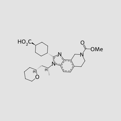 COC(=O)N1CCc2ccc3c(nc([C@H]4CC[C@H](C(=O)O)CC4)n3[C@H](C)C[C@H]3CCCCO3)c2C1